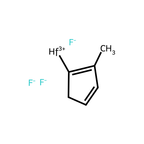 CC1=[C]([Hf+3])CC=C1.[F-].[F-].[F-]